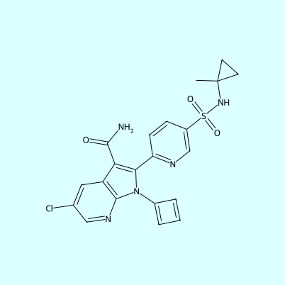 CC1(NS(=O)(=O)c2ccc(-c3c(C(N)=O)c4cc(Cl)cnc4n3C3=CC=C3)nc2)CC1